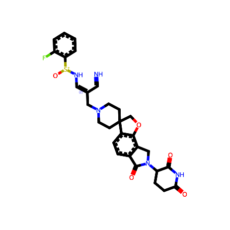 N=C/C(=C\N[S+]([O-])c1ccccc1F)CN1CCC2(CC1)COc1c2ccc2c1CN(C1CCC(=O)NC1=O)C2=O